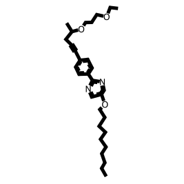 CCCCCCCCCCOc1cnc(-c2ccc(C#CCC(C)OCCCOCC)cc2)nc1